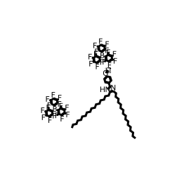 CCCCCCCCCCCCCCCCCc1nc(-c2ccc(O[Si](C)(C)C)cc2)[nH]c1CCCCCCCCCCCCCCCCC.Fc1c(F)c(F)c(B(c2c(F)c(F)c(F)c(F)c2F)c2c(F)c(F)c(F)c(F)c2F)c(F)c1F.Fc1c(F)c(F)c(B(c2c(F)c(F)c(F)c(F)c2F)c2c(F)c(F)c(F)c(F)c2F)c(F)c1F